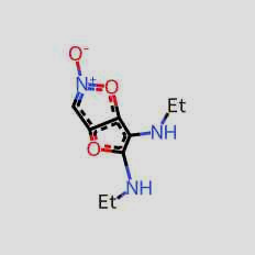 CCNc1oc2c[n+]([O-])oc2c1NCC